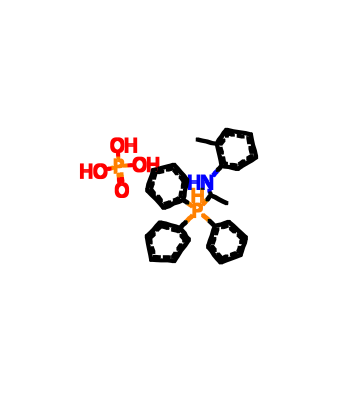 Cc1ccccc1NC(C)[PH](c1ccccc1)(c1ccccc1)c1ccccc1.O=P(O)(O)O